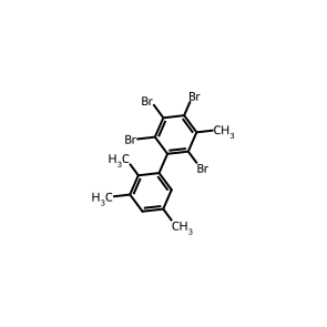 Cc1cc(C)c(C)c(-c2c(Br)c(C)c(Br)c(Br)c2Br)c1